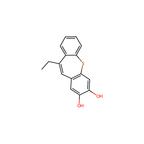 CCC1=Cc2cc(O)c(O)cc2Sc2ccccc21